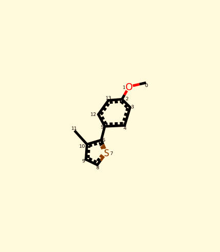 COc1ccc(-c2sccc2C)cc1